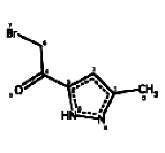 Cc1cc(C(=O)CBr)[nH]n1